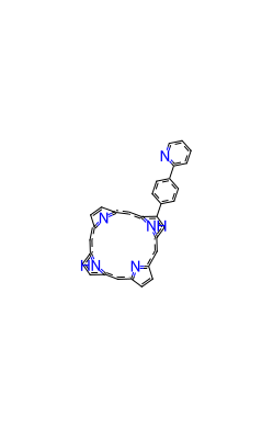 C1=Cc2cc3cc(-c4ccc(-c5ccccn5)cc4)c(cc4nc(cc5ccc(cc1n2)[nH]5)C=C4)[nH]3